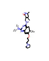 CCN(CC)c1nc(NCc2c(C)cc(C)[nH]c2=O)c2cc(OC)c(OCCCN3CCCC3)cc2n1